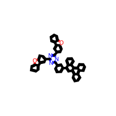 c1cc(-c2nc(-c3ccc4oc5ccccc5c4c3)nc(-c3ccc4oc5ccccc5c4c3)n2)cc(-c2cc3c4ccccc4c4ccccc4c3c3ccccc23)c1